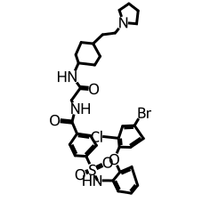 O=C(CNC(=O)c1ccc(S(=O)(=O)Nc2ccccc2Oc2ccc(Br)cc2Cl)cc1)NC1CCC(CCN2CCCC2)CC1